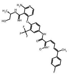 C\C(=C/C=C\C(=[NH+]\[O-])C(=O)Nc1ccc(Oc2ccnc(N)c2C(=N)N[C@H](C)CO)c(C(F)(F)F)c1)c1ccc(F)cc1